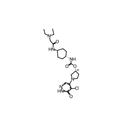 CCN(CC)CC(=O)N[C@H]1CC[C@H](NC(=O)O[C@@H]2CCN(c3cn[nH]c(=O)c3Cl)C2)CC1